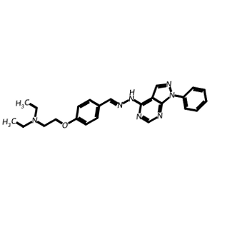 CCN(CC)CCOc1ccc(C=NNc2ncnc3c2cnn3-c2ccccc2)cc1